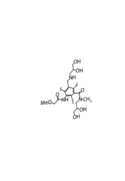 COCC(=O)Nc1c(I)c(CNCC(O)CO)c(I)c(C(=O)N(C)CC(O)CO)c1I